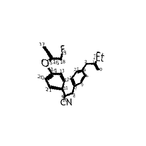 C=C(CC)Cc1ccc(CC(C#N)c2ccc(OC(=C)CF)cc2)cc1